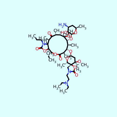 CCCN1C(=O)O[C@]2(C)[C@@H](CC)OC(=O)[C@H](C)[C@@H](O[C@H]3C[C@@](C)(OC)[C@@]4(CN(CCN(CC)CC)C(=O)O4)[C@H](C)O3)[C@H](C)[C@@H](O[C@@H]3O[C@H](C)C[C@H](N)[C@H]3O)[C@@](C)(OC)C[C@@H](C)C(=O)[C@H](C)[C@@H]12